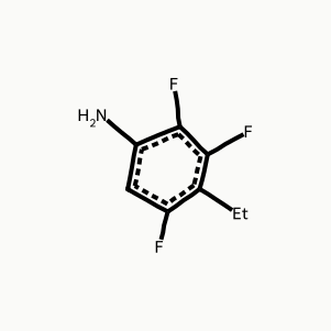 CCc1c(F)cc(N)c(F)c1F